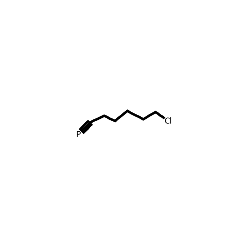 P#CCCCCCCl